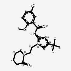 COc1ccc(Cl)cc1C(=O)N=c1sc(C(C)(C)C)cn1CCN1CCCCC1=O